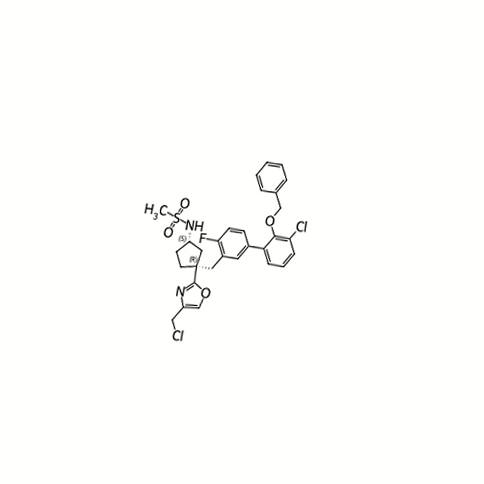 CS(=O)(=O)N[C@H]1CC[C@](Cc2cc(-c3cccc(Cl)c3OCc3ccccc3)ccc2F)(c2nc(CCl)co2)C1